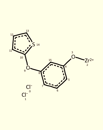 [Cl-].[Cl-].[Zr+2][O]c1cccc(Oc2cccs2)c1